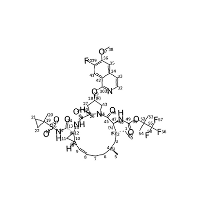 CC[C@@H]1C[C@@H](C)CCC=C[C@@H]2C[C@@]2(C(=O)NS(=O)(=O)C2(C)CC2)NC(=O)[C@@H]2C[C@@H](Oc3nccc4cc(OC)c(F)cc34)CN2C(=O)[C@H]1NC(=O)OC(C)(C)C(F)(F)F